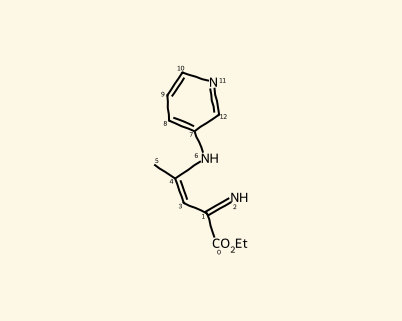 CCOC(=O)C(=N)/C=C(/C)Nc1cccnc1